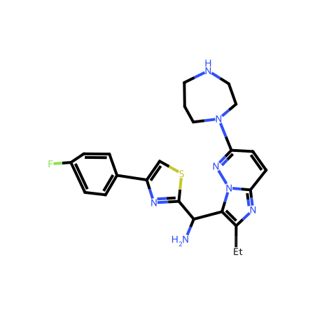 CCc1nc2ccc(N3CCCNCC3)nn2c1C(N)c1nc(-c2ccc(F)cc2)cs1